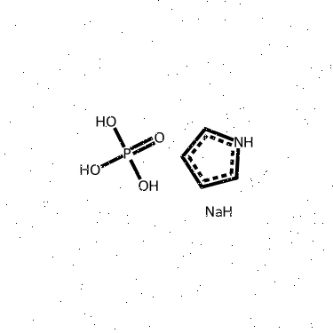 O=P(O)(O)O.[NaH].c1cc[nH]c1